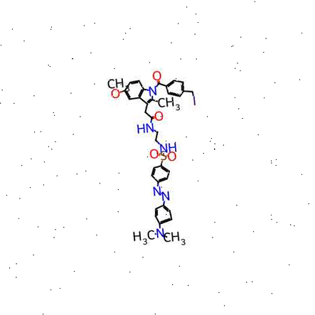 COc1ccc2c(c1)c(CC(=O)NCCNS(=O)(=O)c1ccc(/N=N/c3ccc(N(C)C)cc3)cc1)c(C)n2C(=O)c1ccc(CI)cc1